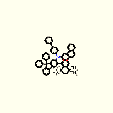 CC1(C)CCC(C)(C)c2c(-c3cc4c(cc3N(c3ccc(-c5ccccc5)cc3)c3ccc5ccc6ccccc6c5c3)C(c3ccccc3)(c3ccccc3)c3ccccc3-4)cccc21